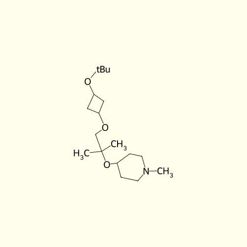 CN1CCC(OC(C)(C)COC2CC(OC(C)(C)C)C2)CC1